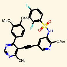 COc1ccc(-c2ncnc(C)c2C#Cc2cnc(OC)c(NS(=O)(=O)c3ccc(F)cc3F)c2)cc1OC